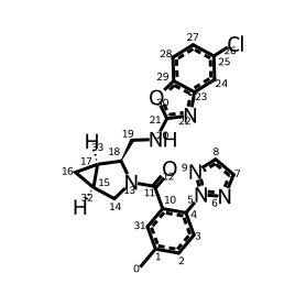 Cc1ccc(-n2nccn2)c(C(=O)N2C[C@H]3C[C@H]3[C@H]2CNc2nc3cc(Cl)ccc3o2)c1